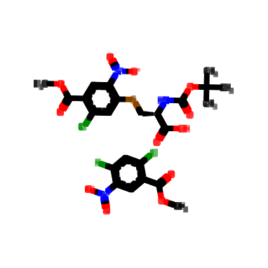 COC(=O)c1cc([N+](=O)[O-])c(F)cc1Cl.COC(=O)c1cc([N+](=O)[O-])c(SC[C@H](NC(=O)OC(C)(C)C)C(=O)O)cc1Cl